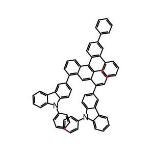 c1ccc(-c2ccc(-c3c4cccc(-c5ccc6c(c5)c5ccccc5n6-c5ccccc5)c4cc4c(-c5ccc6c(c5)c5ccccc5n6-c5ccccc5)cccc34)c(-c3ccccc3)c2)cc1